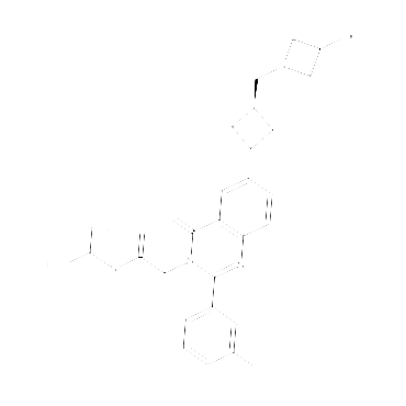 CC(C)NC(=O)Cn1c(-c2cccc(Cl)c2)nc2ccc([C@H]3C[C@H](CN4CC(O)C4)C3)cc2c1=O